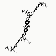 CCOC(COCCCSCCN(C)C)COc1ccc(S(=O)(=O)c2ccc(OCC(COCCCSCCN(C)C)OCC)cc2)cc1